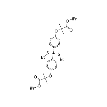 CCSC(SCC)(c1ccc(OC(C)(C)C(=O)OC(C)C)cc1)c1ccc(OC(C)(C)C(=O)OC(C)C)cc1